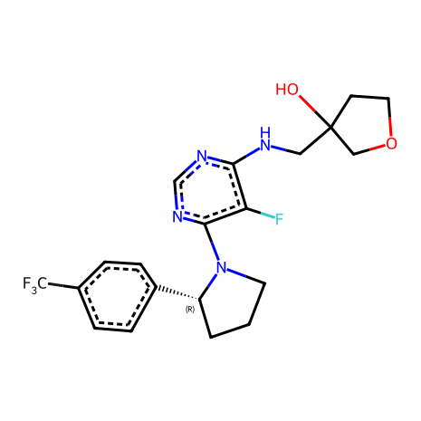 OC1(CNc2ncnc(N3CCC[C@@H]3c3ccc(C(F)(F)F)cc3)c2F)CCOC1